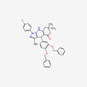 CC1(C)CC(=O)C2=C(C1)Nc1c(c(C(C)(C)C)nn1-c1ccc(F)cc1)C2c1ccc(OCc2ccccc2)c(OCc2ccccc2)c1